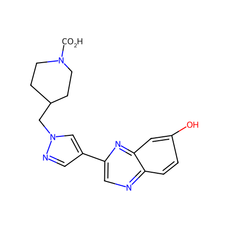 O=C(O)N1CCC(Cn2cc(-c3cnc4ccc(O)cc4n3)cn2)CC1